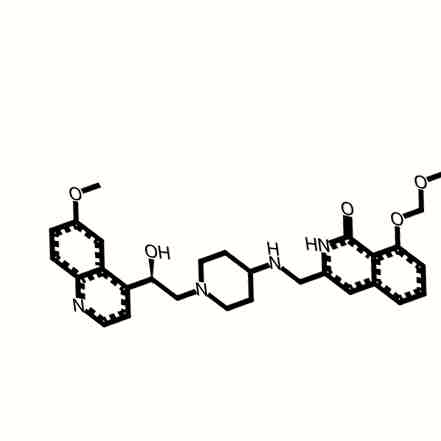 COCOc1cccc2cc(CNC3CCN(C[C@H](O)c4ccnc5ccc(OC)cc45)CC3)[nH]c(=O)c12